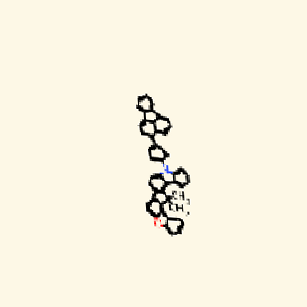 CC1(C)c2c(ccc3oc4ccccc4c23)-c2ccc3c(c21)c1ccccc1n3-c1ccc(C2=CC=C3c4ccccc4C4=CC=CC2C43)cc1